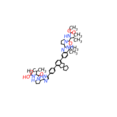 COC(=O)NC(C(=O)N1CCCC1C1=Nc2cc(-c3ccc(-c4ccc(-c5cnc(C6CCCN6C(=O)C(NC(=O)O)C(C)C)[nH]5)cc4)c4c3CC3(CCCC3)C4)ccc2C(C)(C)N1)C(C)C